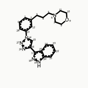 c1cc(CCCN2CCOCC2)cc(-n2cc(-c3n[nH]c4ccccc34)nn2)c1